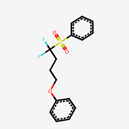 O=S(=O)(c1ccccc1)C(F)(F)CCCOc1ccccc1